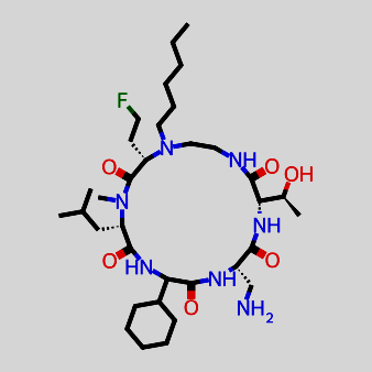 CCCCCCN1CCNC(=O)[C@H]([C@H](C)O)NC(=O)[C@H](CN)NC(=O)C(C2CCCCC2)NC(=O)[C@H](CC(C)C)N(C)C(=O)[C@@H]1CCF